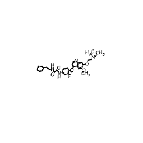 CCN(CC)CCOc1cc2nccc(Oc3ccc(NC(=O)C(=O)NCCc4ccccc4)cc3F)c2cc1OC